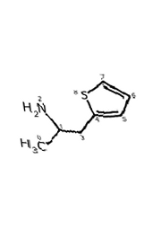 CC(N)Cc1cc[c]s1